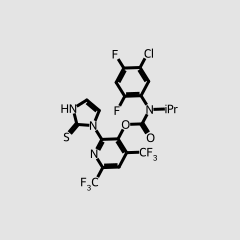 CC(C)N(C(=O)Oc1c(C(F)(F)F)cc(C(F)(F)F)nc1-n1cc[nH]c1=S)c1cc(Cl)c(F)cc1F